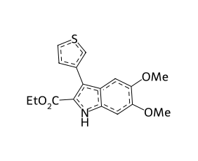 CCOC(=O)c1[nH]c2cc(OC)c(OC)cc2c1-c1ccsc1